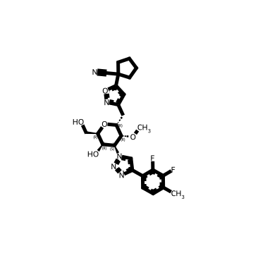 CO[C@@H]1[C@@H](n2cc(-c3ccc(C)c(F)c3F)nn2)[C@@H](O)[C@@H](CO)O[C@@H]1Cc1cc(C2(C#N)CCCC2)on1